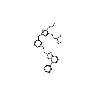 CCOc1nn(Cc2ccnc(OCc3cn4c(-c5ccccc5)cccc4n3)c2)cc1CCC(=O)O